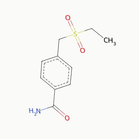 CCS(=O)(=O)Cc1ccc(C(N)=O)cc1